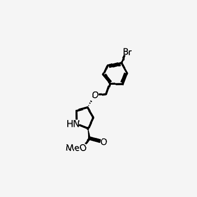 COC(=O)[C@@H]1C[C@@H](OCc2ccc(Br)cc2)CN1